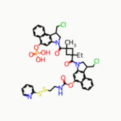 CCC1(C(=O)N2CC(CCl)c3c2cc(OC(=O)NCCSSc2ccccn2)c2ccccc32)CC(C)(C(=O)N2CC(CCl)c3c2cc(OP(=O)(O)O)c2ccccc32)C1